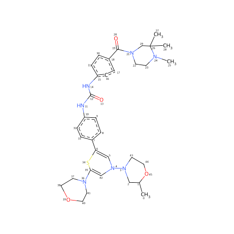 CC1CN(N2C=C(c3ccc(NC(=O)Nc4ccc(C(=O)N5CCN(C)C(C)(C)C5)cc4)cc3)SC(N3CCOCC3)=C2)CCO1